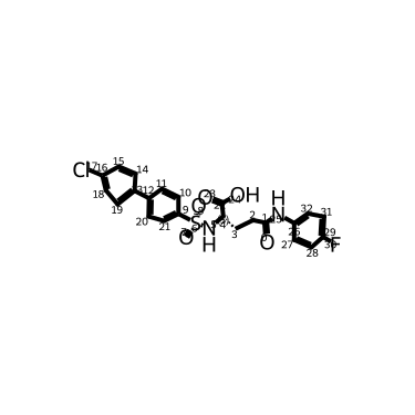 O=C(CC[C@H](NS(=O)(=O)c1ccc(-c2ccc(Cl)cc2)cc1)C(=O)O)Nc1ccc(F)cc1